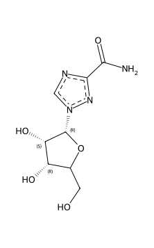 NC(=O)c1ncn([C@@H]2OC(CO)[C@H](O)[C@@H]2O)n1